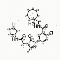 Cc1nn(-c2ccc(Cl)c(C(=O)NCC3(O)CCCCCC3)c2)c(=O)n1CC(=O)NC1CCNC1